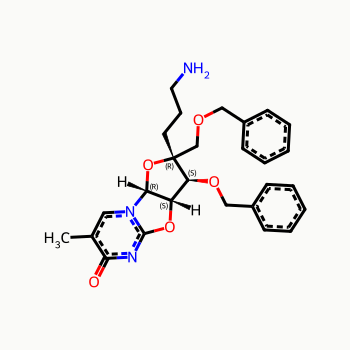 Cc1cn2c(nc1=O)O[C@@H]1[C@H]2O[C@](CCCN)(COCc2ccccc2)[C@H]1OCc1ccccc1